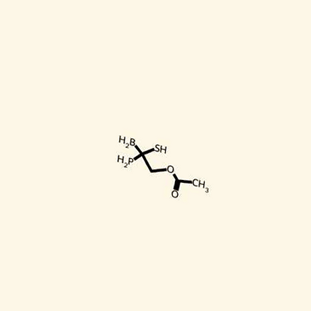 BC(P)(S)COC(C)=O